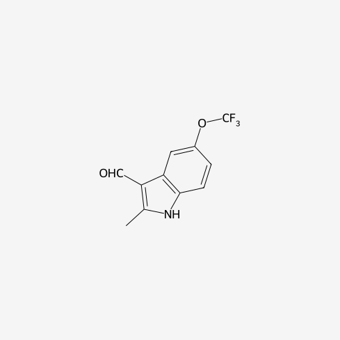 Cc1[nH]c2ccc(OC(F)(F)F)cc2c1C=O